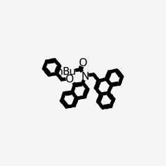 CCCCC(=O)N(Cc1cc2ccccc2c2ccccc12)c1ccc2ccccc2c1OCc1ccccc1